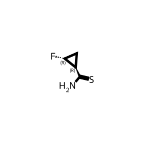 NC(=S)[C@@H]1C[C@H]1F